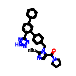 CCCCc1ncc(C(=O)N2CCCC2)n1Cc1ccc(-c2cc(-c3ccccc3)ccc2-c2nn[nH]n2)cc1